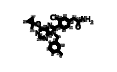 Cc1cccc(Cn2c(-c3ccc(CC(N)=O)cc3Cl)nc3c(OC4(C)CC4)ncnc32)c1